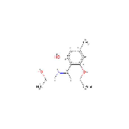 CCCCCC1CC(=NCC(C)O)c2c(O)cc(C)cc2O1